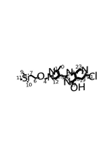 Cc1nn(COCC[Si](C)(C)C)cc1-c1nc(O)c2cc(Cl)ncc2n1